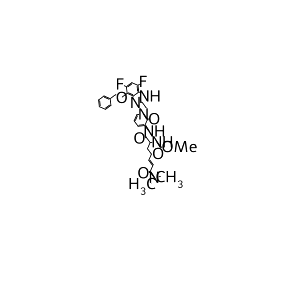 COC(=O)NC(CC/C=C/C(=O)N(C)C)C(=O)Nc1cccn(Cc2nc3c(OCc4ccccc4)c(F)cc(F)c3[nH]2)c1=O